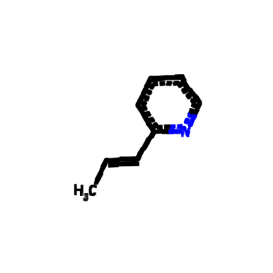 CC=Cc1ccccn1